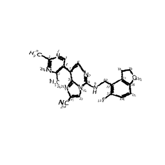 Cc1ncc(-c2cnc(NCc3c(F)ccc4c3CCO4)n3cc(C#N)nc23)c(C)n1